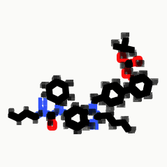 CCCCNC(=O)N(c1ccc2nc(CCCC)n(Cc3ccc(-c4ccccc4OC(=O)OC(C)(C)C)cc3)c2c1)C1CCCCC1